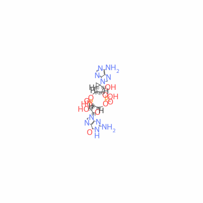 Nc1nc2c(ncn2[C@@H]2O[C@@H]3COP(=O)(O)O[C@@H]4[C@@H](COP(=O)(O)[C@H]3[C@H]2O)[C@@H]2CC2(n2cnc3c(N)ncnc32)[C@@H]4O)c(=O)[nH]1